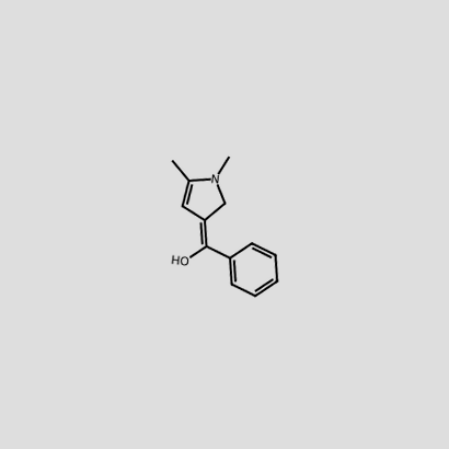 CC1=CC(=C(O)c2ccccc2)CN1C